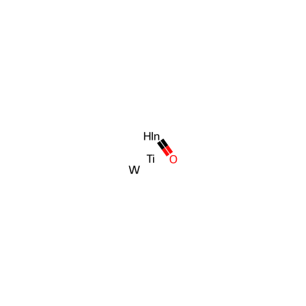 [O]=[InH].[Ti].[W]